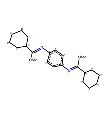 CO/C(=N\c1ccc(/N=C(\OC)C2CCCCC2)cc1)C1CCCCC1